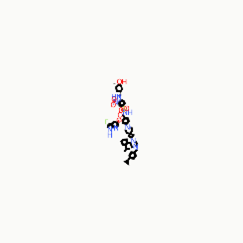 CC(C)c1ccccc1C1CN(Cc2ccc(C3CC3)cc2)CCN1C1CC2(CCN(c3ccc(C(=O)NS(=O)(=O)c4ccc(NC[C@H]5CC[C@](C)(O)CC5)c([N+](=O)[O-])c4)c(Oc4cnc5[nH]cc(F)c5c4)c3)CC2)C1